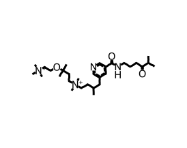 CC(CC[N+](C)(C)CCC(C)(C)OCC[N+](C)(C)C)Cc1cncc(C(=O)NCCCC(=O)C(C)C)c1